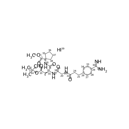 COC(=O)C1(NC(=O)[C@H](CC(=O)OC(C)(C)C)NC(=O)CNC(=O)CCc2ccc(C(=N)N)cc2)CCCC1.I